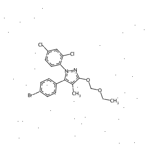 CCOCOc1nn(-c2ccc(Cl)cc2Cl)c(-c2ccc(Br)cc2)c1C